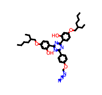 CCCCC(CC)COc1ccc(-c2nc(-c3ccc(OCN=[N+]=[N-])cc3)nc(-c3ccc(OCC(CC)CCCC)cc3O)n2)c(O)c1